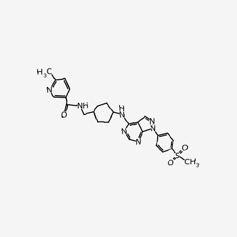 Cc1ccc(C(=O)NCC2CCC(Nc3ncnc4c3cnn4-c3ccc(S(C)(=O)=O)cc3)CC2)cn1